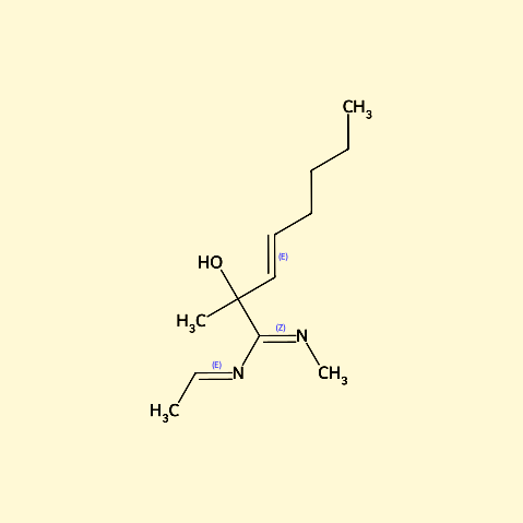 C/C=N/C(=N\C)C(C)(O)/C=C/CCCC